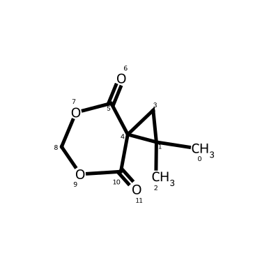 CC1(C)CC12C(=O)OCOC2=O